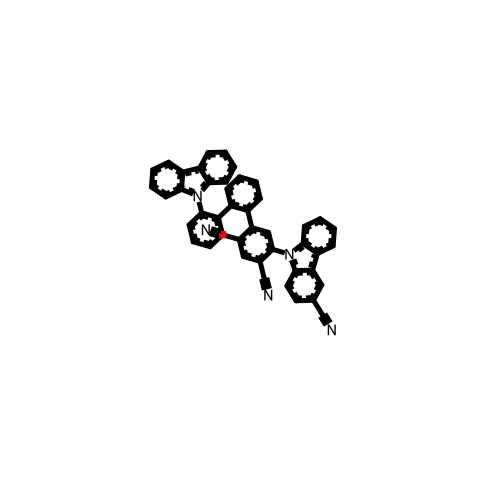 N#Cc1ccc2c(c1)c1ccccc1n2-c1cc(-c2ccccc2-c2ccccc2-n2c3ccccc3c3ccccc32)c(C#N)cc1C#N